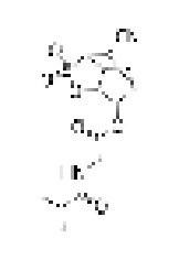 C=C(C)C(=O)NCC(=O)OC1C2CC3C1OS(=O)(=O)C3C2C#N